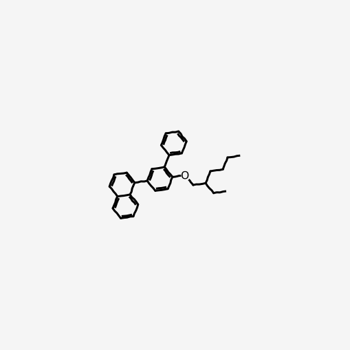 CCCCC(CC)COc1ccc(-c2cccc3ccccc23)cc1-c1ccccc1